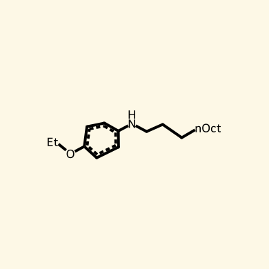 CCCCCCCCCCCNc1ccc(OCC)cc1